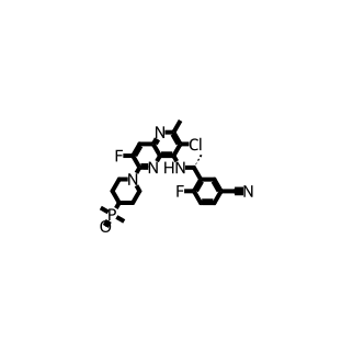 Cc1nc2cc(F)c(N3CCC(P(C)(C)=O)CC3)nc2c(N[C@H](C)c2cc(C#N)ccc2F)c1Cl